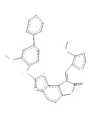 COc1cc(-c2ccccc2)ccc1Nc1nc2c3c(ccc2[nH]1)NC(=O)C3=Cc1[nH]ccc1OC